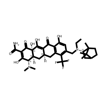 CCN(Cc1cc(O)c2c(c1C(F)(F)F)C[C@H]1C[C@H]3[C@H](N(C)C)C(O)=C(C(N)=O)C(=O)[C@@]3(O)C(O)=C1C2=O)[C@H]1CC2CCC1(C)C2(C)C